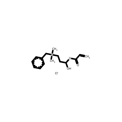 C=CC(=O)OC(O)CC[N+](C)(C)Cc1ccccc1.[Cl-]